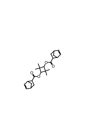 CC1(C)C(OC(=O)C2CC3C=CC2C3)C(C)(C)C1OC(=O)C1CC2C=CC1C2